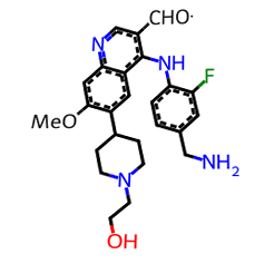 COc1cc2ncc([C]=O)c(Nc3ccc(CN)cc3F)c2cc1C1CCN(CCO)CC1